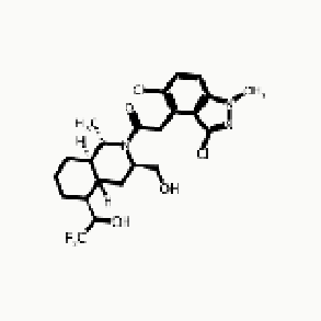 C[C@H]1[C@@H]2CCC[C@H](C(O)C(F)(F)F)[C@H]2C[C@H](CO)N1C(=O)Cc1c(Cl)ccc2c1c(Cl)nn2C